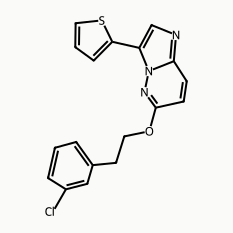 Clc1cccc(CCOc2ccc3ncc(-c4cccs4)n3n2)c1